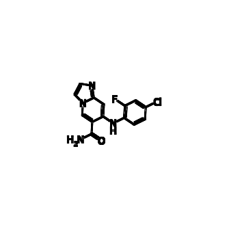 NC(=O)c1cn2ccnc2cc1Nc1ccc(Cl)cc1F